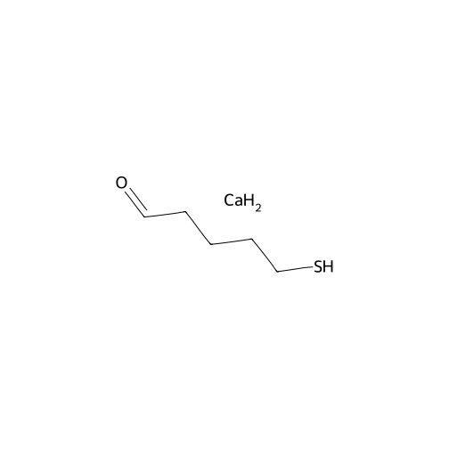 O=CCCCCS.[CaH2]